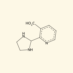 O=C(O)c1cccnc1C1NCCN1